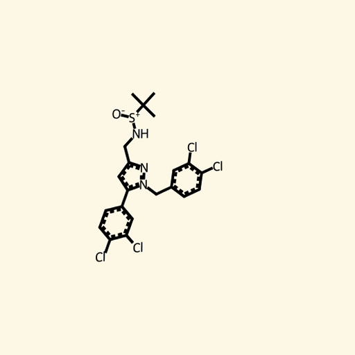 CC(C)(C)[S+]([O-])NCc1cc(-c2ccc(Cl)c(Cl)c2)n(Cc2ccc(Cl)c(Cl)c2)n1